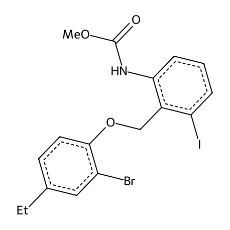 CCc1ccc(OCc2c(I)cccc2NC(=O)OC)c(Br)c1